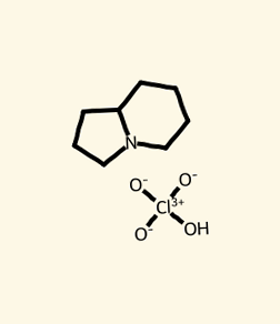 C1CCN2CCCC2C1.[O-][Cl+3]([O-])([O-])O